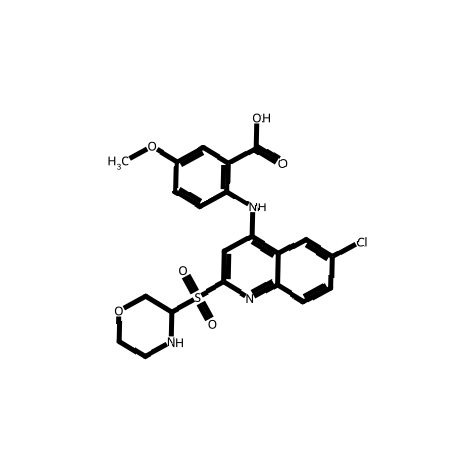 COc1ccc(Nc2cc(S(=O)(=O)C3COCCN3)nc3ccc(Cl)cc23)c(C(=O)O)c1